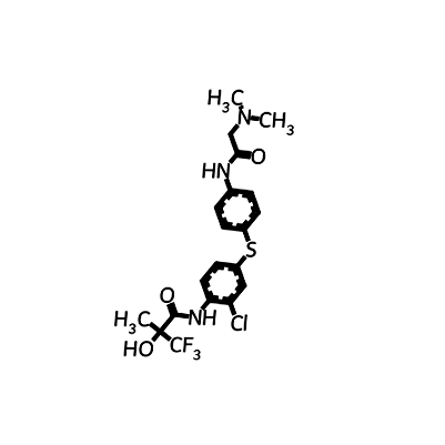 CN(C)CC(=O)Nc1ccc(Sc2ccc(NC(=O)C(C)(O)C(F)(F)F)c(Cl)c2)cc1